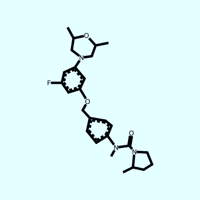 CC1CN(c2cc(F)cc(OCc3ccc(N(C)C(=O)N4CCCC4C)cc3)c2)CC(C)O1